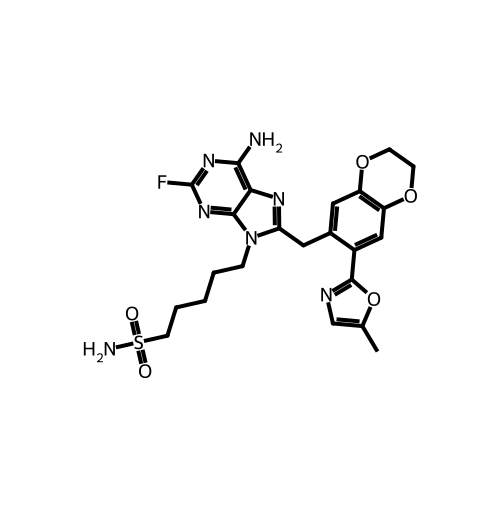 Cc1cnc(-c2cc3c(cc2Cc2nc4c(N)nc(F)nc4n2CCCCCS(N)(=O)=O)OCCO3)o1